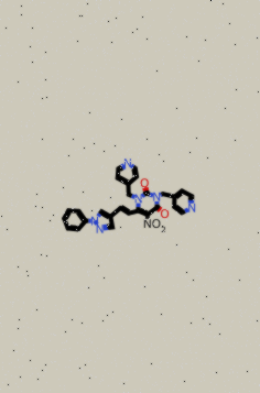 O=c1c([N+](=O)[O-])c(/C=C/c2cnn(-c3ccccc3)c2)n(Cc2ccncc2)c(=O)n1Cc1ccncc1